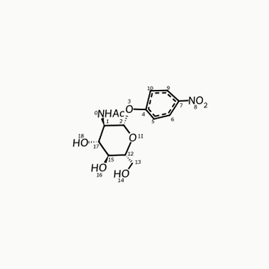 CC(=O)N[C@H]1[C@H](Oc2ccc([N+](=O)[O-])cc2)O[C@H](CO)[C@@H](O)[C@@H]1O